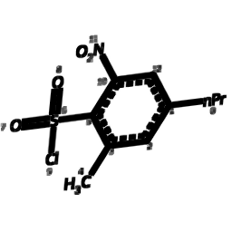 CCCc1cc(C)c(S(=O)(=O)Cl)c([N+](=O)[O-])c1